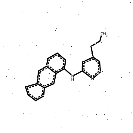 CCCc1ccnc(Nc2cccc3cc4ccccc4cc23)c1